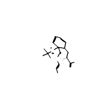 CC=COC(=O)C1(S(=O)(=O)C(C)(C)C)C=CC=CC1C[C@H](N)C(=O)Cl